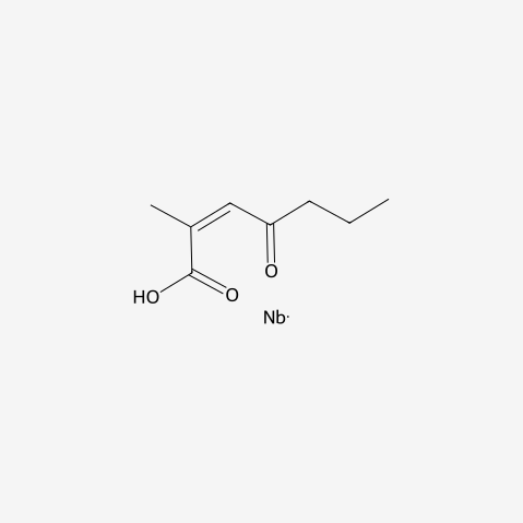 CCCC(=O)C=C(C)C(=O)O.[Nb]